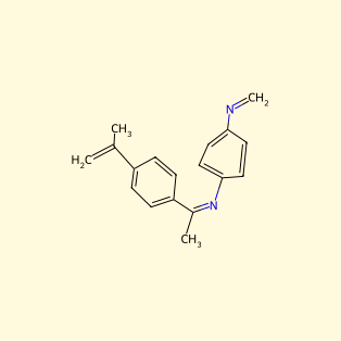 C=Nc1ccc(N=C(C)c2ccc(C(=C)C)cc2)cc1